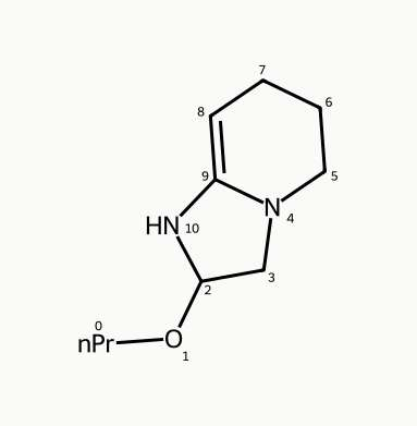 CCCOC1CN2CCCC=C2N1